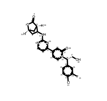 O=C1O[C@@H]2CC(Nc3nccc(-c4ccn([C@H](CO)c5ccc(Cl)c(F)c5)c(=O)c4)n3)[C@H]1C2